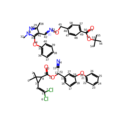 CC1(C)C(C=C(Cl)Cl)C1C(=O)O[C@H](C#N)c1cccc(Oc2ccccc2)c1.Cc1nn(C)c(Oc2ccccc2)c1/C=N/OCc1ccc(C(=O)OC(C)(C)C)cc1